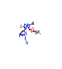 C[Si](C)(C)CCOCn1c(C2CC2)nc(Br)c1-c1ccnc(CCC#N)n1